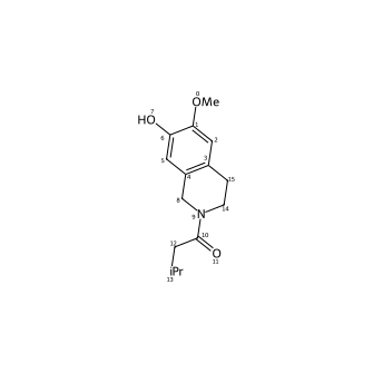 COc1cc2c(cc1O)CN(C(=O)CC(C)C)CC2